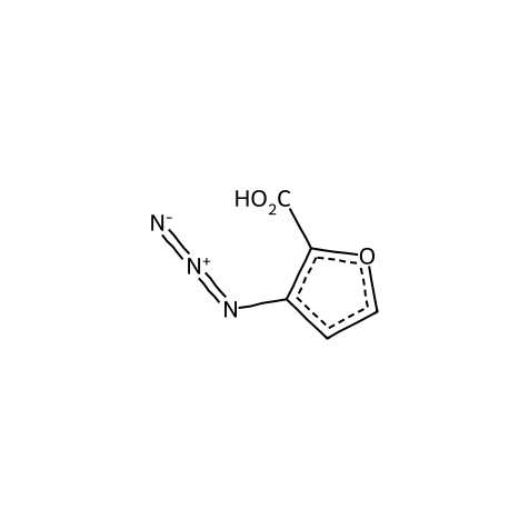 [N-]=[N+]=Nc1ccoc1C(=O)O